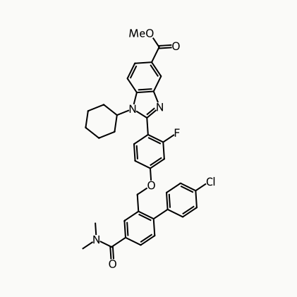 COC(=O)c1ccc2c(c1)nc(-c1ccc(OCc3cc(C(=O)N(C)C)ccc3-c3ccc(Cl)cc3)cc1F)n2C1CCCCC1